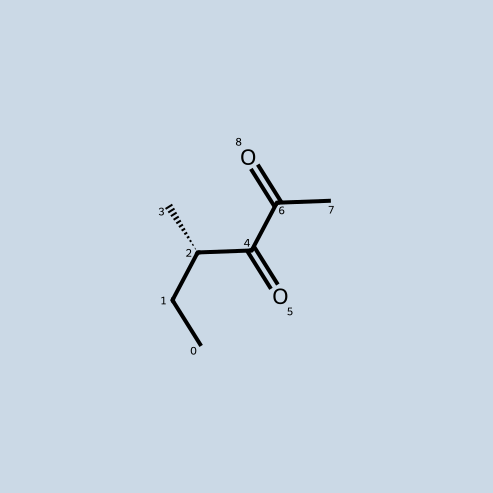 CC[C@H](C)C(=O)C(C)=O